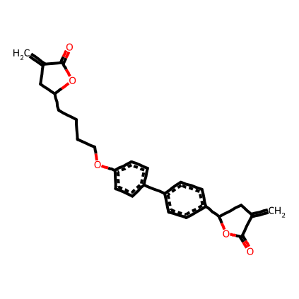 C=C1CC(CCCCOc2ccc(-c3ccc(C4CC(=C)C(=O)O4)cc3)cc2)OC1=O